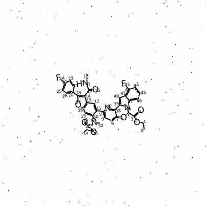 CCOC(=O)C1Oc2ccc(-c3cc4c(C(=O)NC)c(-c5ccc(F)cc5)oc4cc3N(C)S(C)(=O)=O)nc2-c2cc3c(F)cccc3n21